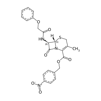 CC1=C(C(=O)OCc2ccc([N+](=O)[O-])cc2)N2C(=O)[C@@H](NC(=O)COc3ccccc3)[C@@H]2SC1